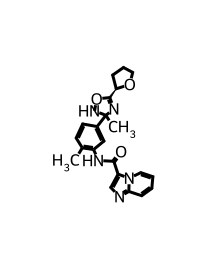 Cc1ccc(C2(C)N=C([C@H]3CCCO3)ON2)cc1NC(=O)c1cnc2ccccn12